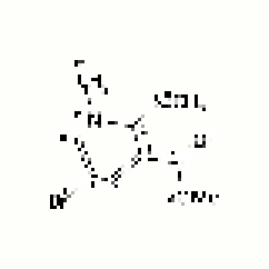 C=CC1C(C(=O)OC)=CC(Br)=CN1C